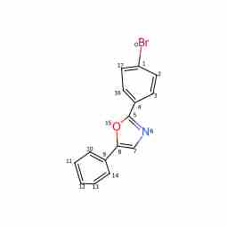 Brc1ccc(-c2ncc(-c3ccccc3)o2)cc1